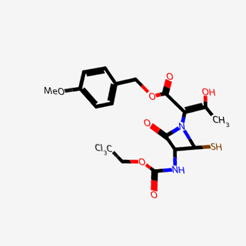 COc1ccc(COC(=O)C(=C(C)O)N2C(=O)C(NC(=O)OCC(Cl)(Cl)Cl)C2S)cc1